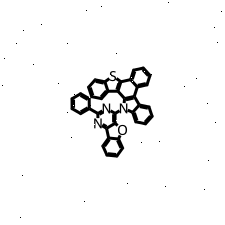 c1ccc(-c2nc(-n3c4ccccc4c4c5ccccc5c5sc6ccccc6c5c43)c3oc4ccccc4c3n2)cc1